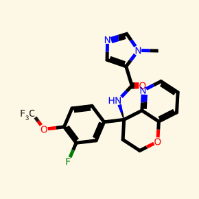 Cn1cncc1C(=O)N[C@]1(c2ccc(OC(F)(F)F)c(F)c2)CCOc2cccnc21